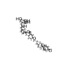 O=C(Cc1ccc(OCCCC2CCN(c3ncc(Cl)cn3)CC2)cc1F)N1CC[C@@H](CNCC(CO)(CO)CO)C1